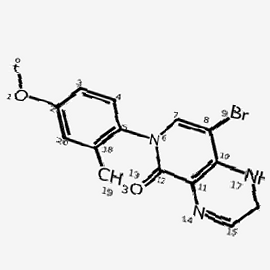 CCOc1ccc(-n2cc(Br)c3c(c2=O)N=CCN3)c(C)c1